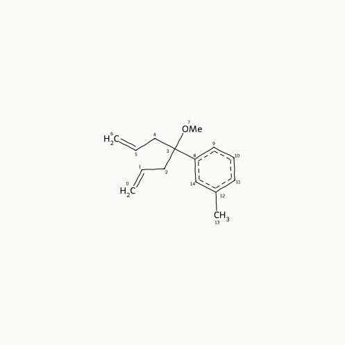 C=CCC(CC=C)(OC)c1cccc(C)c1